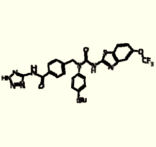 CC(C)(C)c1ccc(N(Cc2ccc(C(=O)Nc3nn[nH]n3)cc2)C(=O)Nc2nc3cc(OC(F)(F)F)ccc3s2)cc1